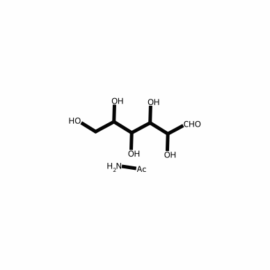 CC(N)=O.O=CC(O)C(O)C(O)C(O)CO